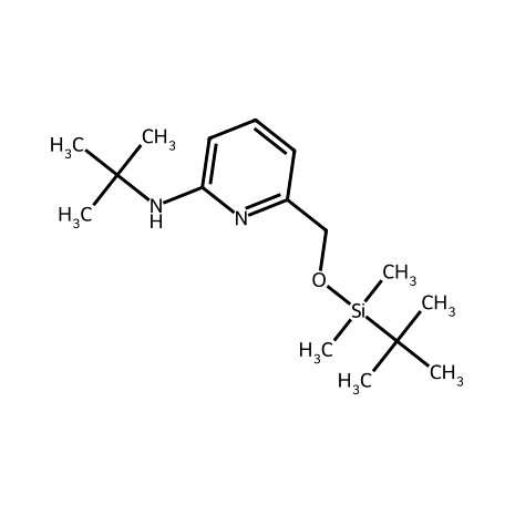 CC(C)(C)Nc1cccc(CO[Si](C)(C)C(C)(C)C)n1